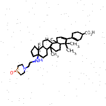 CC1(C)C(C2=CCC(C(=O)O)CC2)=CCC2(C)C1CCC1(C)C3CCC4(NCCN5CC[S+]([O-])CC5)CCC[C@@H]4C3CCC12